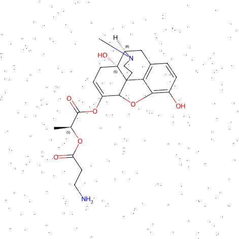 C[C@H](OC(=O)CCN)C(=O)OC1=CC[C@@]2(O)[C@H]3Cc4ccc(O)c5c4C2(CCN3C)C1O5